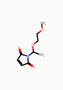 COCCOC(C)N1C(=O)C=CC1=O